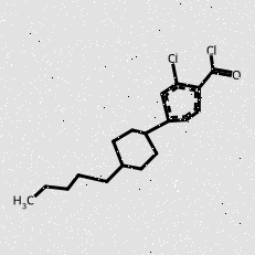 CCCCCC1CCC(c2ccc(C(=O)Cl)c(Cl)c2)CC1